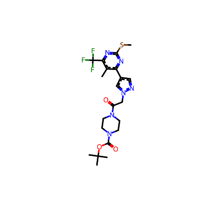 CSc1nc(-c2cnn(CC(=O)N3CCN(C(=O)OC(C)(C)C)CC3)c2)c(C)c(C(F)(F)F)n1